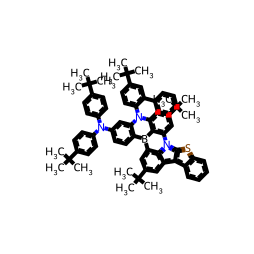 CC(C)(C)c1ccc(N(c2ccc(C(C)(C)C)cc2)c2ccc3c(c2)N(c2ccc(C(C)(C)C)cc2-c2ccccc2)c2cc(C(C)(C)C)cc4c2B3c2cc(C(C)(C)C)cc3c5c6ccccc6sc5n-4c23)cc1